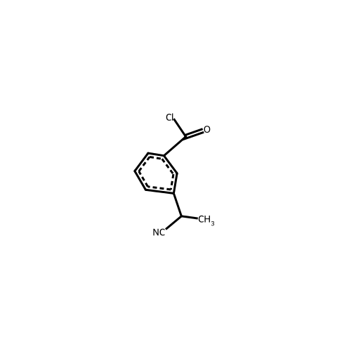 CC(C#N)c1cccc(C(=O)Cl)c1